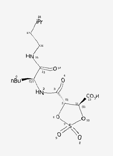 CCCC[C@H](NC(=O)[C@H]1OS(=O)(=O)O[C@@H]1C(=O)O)C(=O)NCCC(C)C